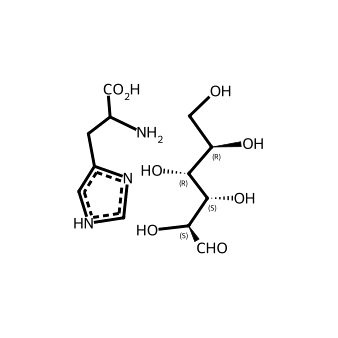 NC(Cc1c[nH]cn1)C(=O)O.O=C[C@@H](O)[C@@H](O)[C@H](O)[C@H](O)CO